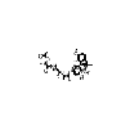 COc1ccc2c3c1O[C@H]1C(OC(=O)C(C)OC(=O)CCNC(=O)[C@H](C)OC(C)=O)=CC[C@@]4(O)[C@@H](C2)N(C)CC[C@]314